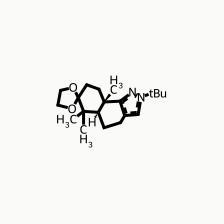 CC(C)(C)n1cc2c(n1)[C@@]1(C)CCC3(OCCO3)C(C)(C)[C@@H]1CC2